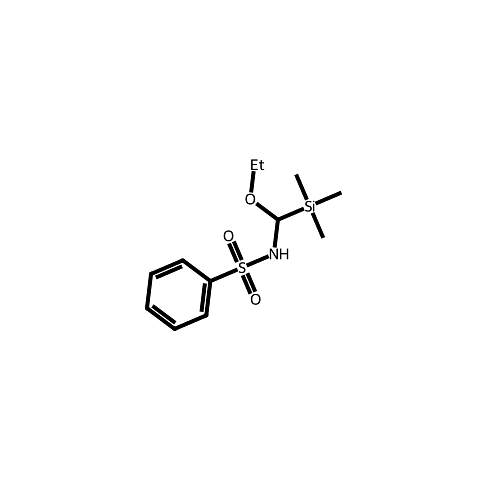 CCOC(NS(=O)(=O)c1ccccc1)[Si](C)(C)C